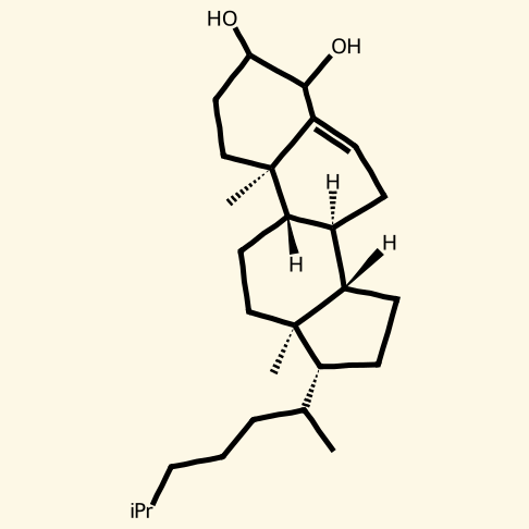 CC(C)CCCC(C)[C@H]1CC[C@H]2[C@@H]3CC=C4C(O)C(O)CC[C@]4(C)[C@H]3CC[C@]12C